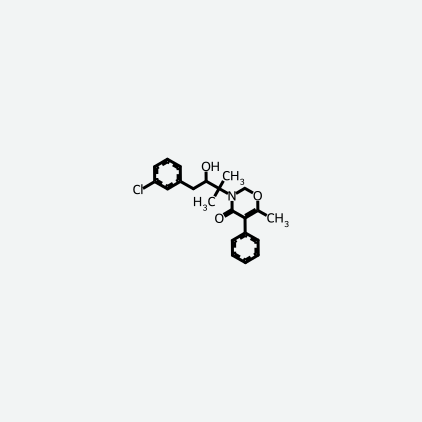 CC1=C(c2ccccc2)C(=O)N(C(C)(C)C(O)Cc2cccc(Cl)c2)CO1